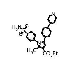 CCOC(=O)c1cc(-c2ccc(-c3ccncc3)cc2)n(-c2ccc(S(N)(=O)=O)cc2)c1C